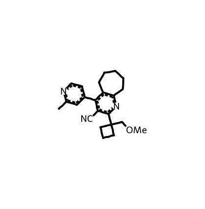 COCC1(c2nc3c(c(-c4ccnc(C)c4)c2C#N)CCCCC3)CCC1